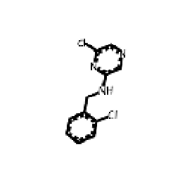 Clc1cncc(NCc2ccccc2Cl)n1